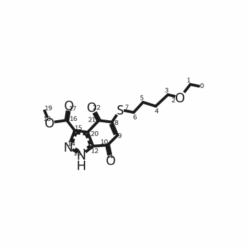 CCOCCCCSC1=CC(=O)c2[nH]nc(C(=O)OC)c2C1=O